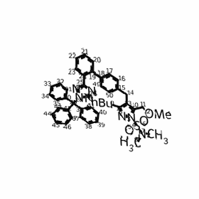 CCCCc1nn(S(=O)(=O)N(C)C)c(COC)c1Cc1ccc(-c2ccccc2-c2nnn(C(c3ccccc3)(c3ccccc3)c3ccccc3)n2)cc1